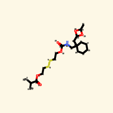 CCCC(CCC)C(=O)OCCSSCCOC(=O)NCC1(CC2OC(C)O2)CCCCC1